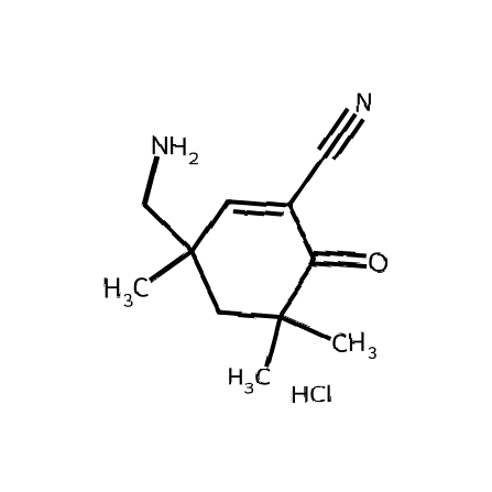 CC1(CN)C=C(C#N)C(=O)C(C)(C)C1.Cl